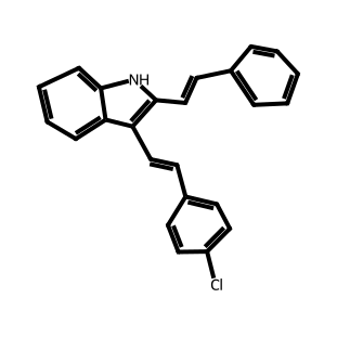 Clc1ccc(/C=C/c2c(/C=C/c3ccccc3)[nH]c3ccccc23)cc1